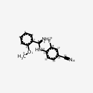 COc1ccccc1C(=N)Nc1ccc(C#N)cc1F